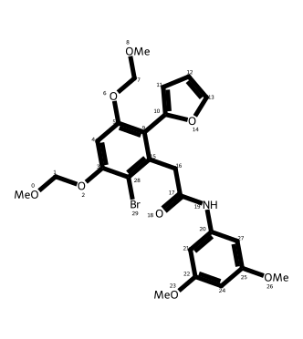 COCOc1cc(OCOC)c(-c2ccco2)c(CC(=O)Nc2cc(OC)cc(OC)c2)c1Br